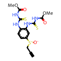 C#CC[S+]([O-])c1ccc(NC(=S)NC(=O)OC)c(NC(=S)NC(=O)OC)c1